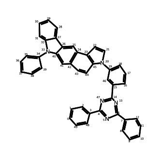 c1ccc(-c2nc(-c3ccccc3)nc(-c3cccc(-n4ccc5c6cc7c8ccccc8n(-c8ccccc8)c7cc6ccc54)c3)n2)cc1